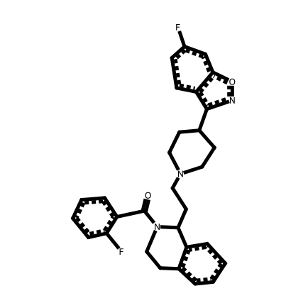 O=C(c1ccccc1F)N1CCc2ccccc2C1CCN1CCC(c2noc3cc(F)ccc23)CC1